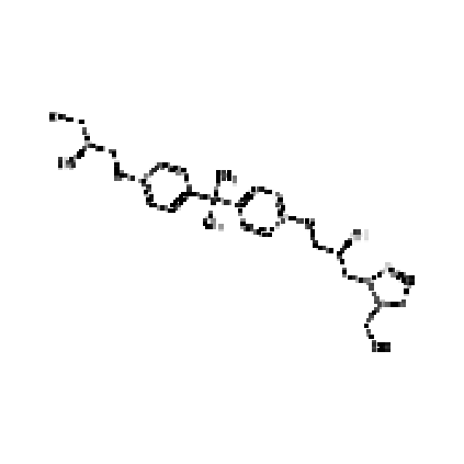 CC(C)(c1ccc(OC[C@@H](O)Cn2nncc2CO)cc1)c1ccc(OC[C@@H](O)CCl)cc1